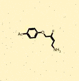 CC(=O)c1ccc(OC/C(F)=C\CN)cc1